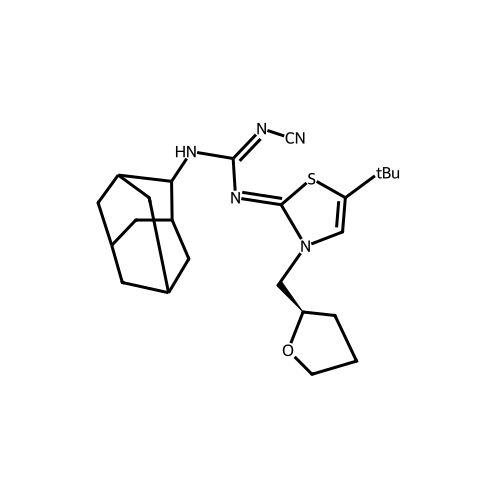 CC(C)(C)c1cn(C[C@H]2CCCO2)/c(=N/C(=NC#N)NC2C3CC4CC(C3)CC2C4)s1